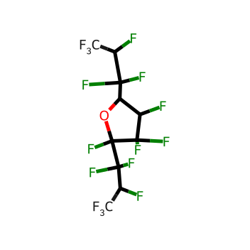 FC(C(F)(F)F)C(F)(F)C1OC(F)(C(F)(F)C(F)C(F)(F)F)C(F)(F)C1F